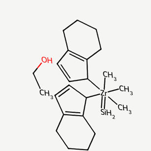 CCO.[CH3][Zr]([CH3])([CH3])(=[SiH2])([CH]1C=CC2=C1CCCC2)[CH]1C=CC2=C1CCCC2